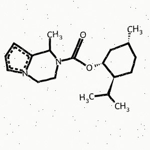 CC(C)[C@@H]1CC[C@@H](C)C[C@H]1OC(=O)N1CCn2cccc2C1C